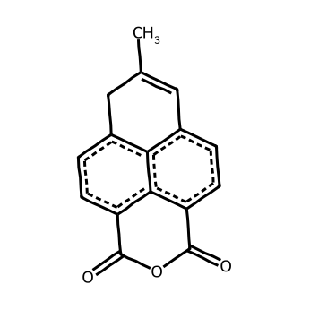 CC1=Cc2ccc3c4c(ccc(c24)C1)C(=O)OC3=O